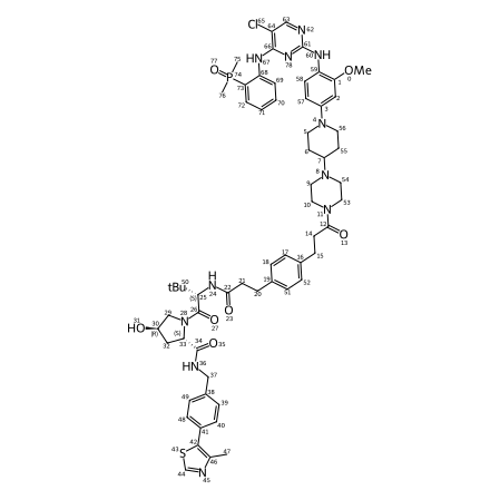 COc1cc(N2CCC(N3CCN(C(=O)CCc4ccc(CCC(=O)N[C@H](C(=O)N5C[C@H](O)C[C@H]5C(=O)NCc5ccc(-c6scnc6C)cc5)C(C)(C)C)cc4)CC3)CC2)ccc1Nc1ncc(Cl)c(Nc2ccccc2P(C)(C)=O)n1